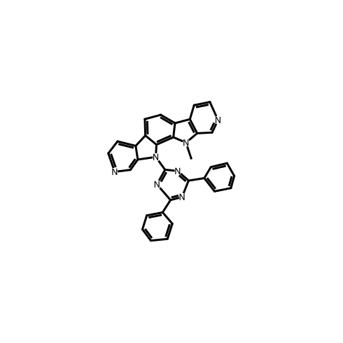 Cn1c2cnccc2c2ccc3c4ccncc4n(-c4nc(-c5ccccc5)nc(-c5ccccc5)n4)c3c21